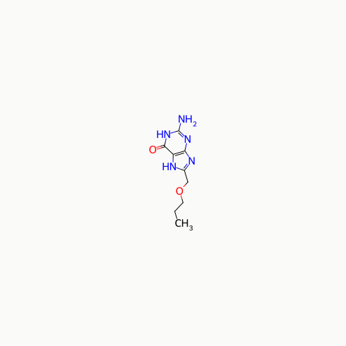 CCCOCc1nc2nc(N)[nH]c(=O)c2[nH]1